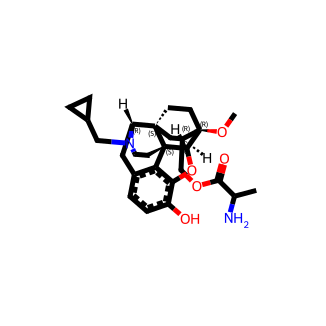 CO[C@]12CC[C@@]3(C[C@@H]1COC(=O)C(C)N)[C@H]1Cc4ccc(O)c5c4[C@@]3(CCN1CC1CC1)[C@H]2O5